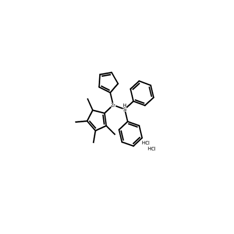 CC1=C(C)C(C)[C]([Zr]([C]2=CC=CC2)[SiH](c2ccccc2)c2ccccc2)=C1C.Cl.Cl